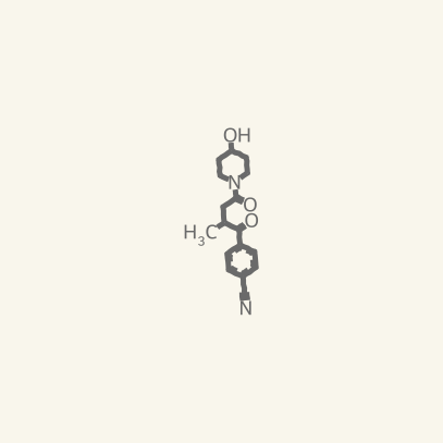 CC(CC(=O)N1CCC(O)CC1)C(=O)c1ccc(C#N)cc1